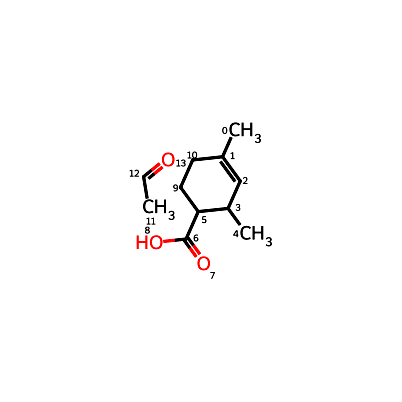 CC1=CC(C)C(C(=O)O)CC1.CC=O